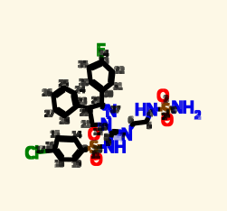 NS(=O)(=O)NCC/N=C(/NS(=O)(=O)c1ccc(Cl)cc1)N1C[C@@H](c2ccccc2)C(c2ccc(F)cc2)=N1